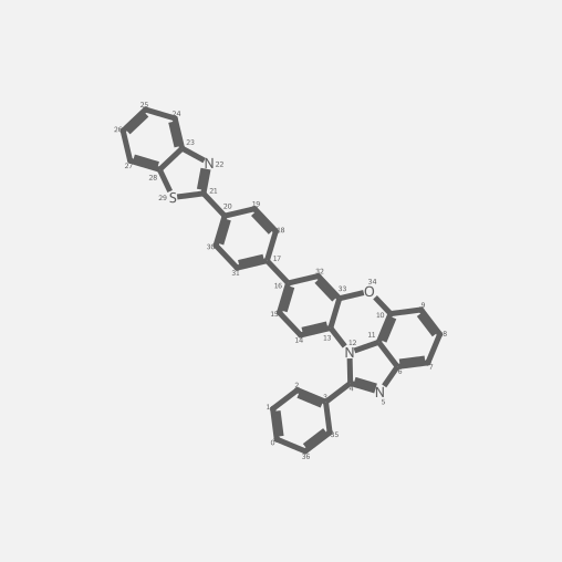 c1ccc(-c2nc3cccc4c3n2-c2ccc(-c3ccc(-c5nc6ccccc6s5)cc3)cc2O4)cc1